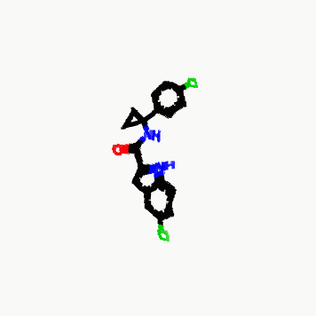 O=C(NC1(c2ccc(Cl)cc2)CC1)c1cc2cc(Cl)ccc2[nH]1